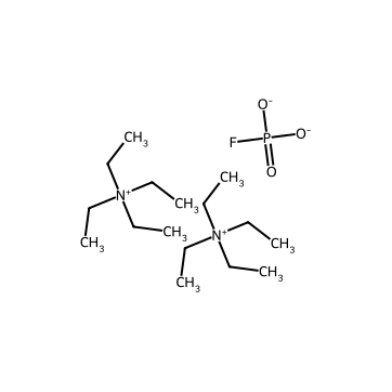 CC[N+](CC)(CC)CC.CC[N+](CC)(CC)CC.O=P([O-])([O-])F